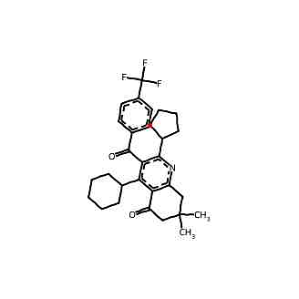 CC1(C)CC(=O)c2c(nc(C3CCCC3)c(C(=O)c3ccc(C(F)(F)F)cc3)c2C2CCCCC2)C1